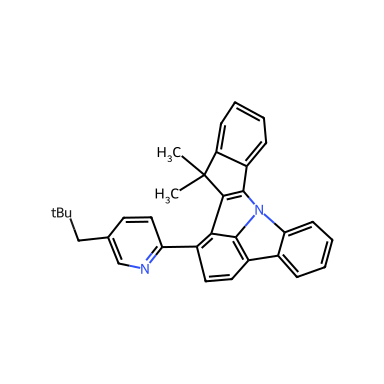 CC(C)(C)Cc1ccc(-c2ccc3c4ccccc4n4c5c(c2c34)C(C)(C)c2ccccc2-5)nc1